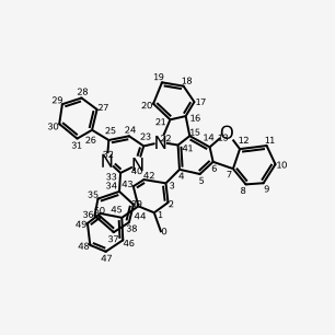 CC1C=C(c2cc3c4ccccc4oc3c3c4ccccc4n(-c4cc(-c5ccccc5)nc(-c5ccccc5)n4)c23)C=CC1c1ccccc1